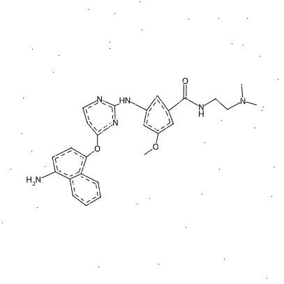 COc1cc(Nc2nccc(Oc3ccc(N)c4ccccc34)n2)cc(C(=O)NCCN(C)C)c1